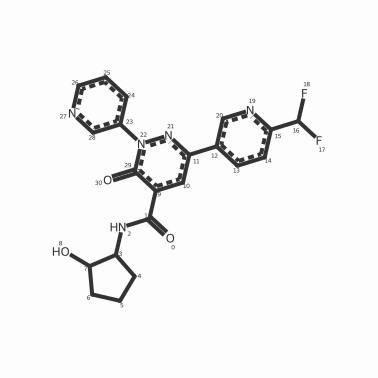 O=C(NC1CCCC1O)c1cc(-c2ccc(C(F)F)nc2)nn(-c2cccnc2)c1=O